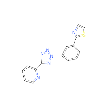 c1ccc(-c2nnn(-c3cccc(-c4nccs4)c3)n2)nc1